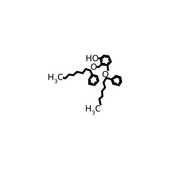 CCCCCCCC(OCc1cccc(O)c1COC(CCCCCCC)c1ccccc1)c1ccccc1